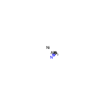 C#N.[AlH3].[Ni]